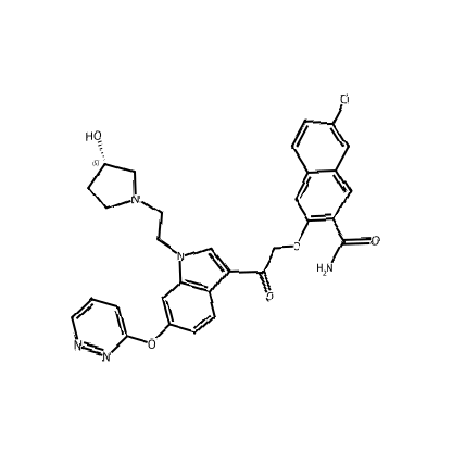 NC(=O)c1cc2cc(Cl)ccc2cc1OCC(=O)c1cn(CCN2CC[C@H](O)C2)c2cc(Oc3cccnn3)ccc12